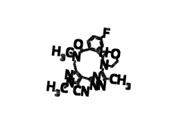 Cc1nnc2nc1N1CCOC[C@@H]1c1cc(F)ccc1C(=O)N(C)Cc1nn(C)c(C#N)c1-2